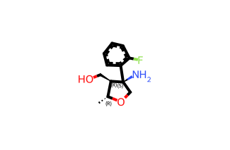 C[C@H]1OC[C@@](N)(c2ccccc2F)[C@@H]1CO